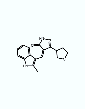 Cc1[nH]c2ccccc2c1C=C1C(=O)NN=C1C1CCOC1